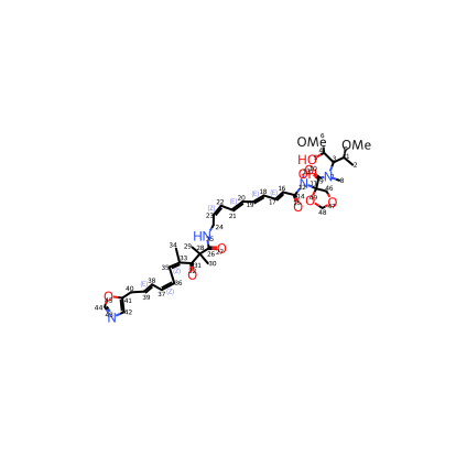 COC(C)C(C(O)OC)N(C)C(=O)C1(N(O)C(=O)/C=C/C=C/C=C/C=C\CNC(=O)C(C)(C)C(=O)\C(C)=C/C=C\C=C\Cc2cnco2)COCO1